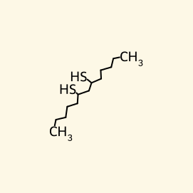 CCCCCC(S)CC(S)CCCCC